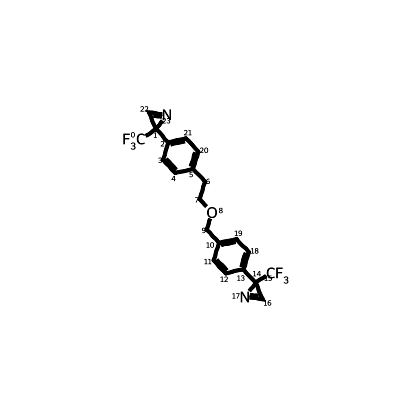 FC(F)(F)C1(c2ccc(CCOCc3ccc(C4(C(F)(F)F)C=N4)cc3)cc2)C=N1